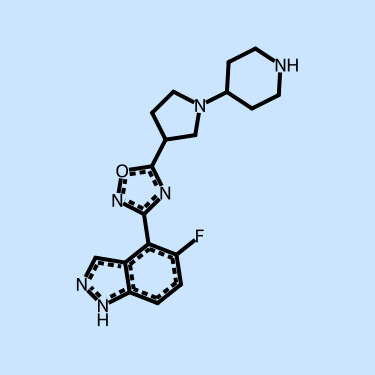 Fc1ccc2[nH]ncc2c1-c1noc(C2CCN(C3CCNCC3)C2)n1